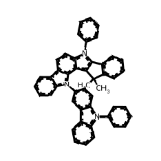 CC1(C)c2ccccc2-c2c1c1c(ccc3c4ccccc4n(-c4ccc5c(c4)c4ccccc4n5-c4ccccc4)c31)n2-c1ccccc1